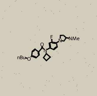 CCCCOc1ccc(C(=O)N(c2ccc(N3CCC(NC)C3)c(F)c2)C2CCC2)cc1